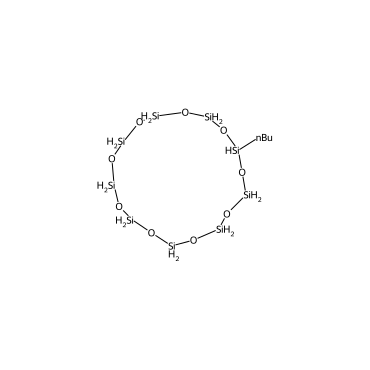 CCCC[SiH]1O[SiH2]O[SiH2]O[SiH2]O[SiH2]O[SiH2]O[SiH2]O[SiH2]O[SiH2]O1